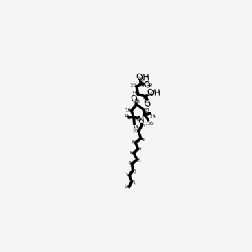 CCCCCCCCCCCCN1C(C)(C)CC(OC(CC(=O)O)C(=O)O)CC1(C)C